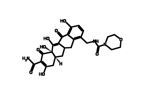 NC(=O)C1=C(O)C[C@@H]2CC3Cc4c(CNC(=O)N5CCOCC5)ccc(O)c4C(=O)C3=C(O)[C@]2(O)C1=O